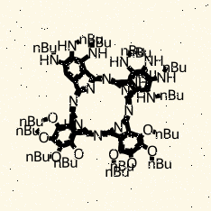 CCCCNc1cc2c(c(NCCCC)c1NCCCC)-c1nc-2nc2[nH]c(nc3nc(nc4c5c(NCCCC)c(NCCCC)c(NCCCC)c(NCCCC)c5c(n1)n4NCCCC)-c1c(OCCCC)c(OCCCC)c(OCCCC)c(OCCCC)c1-3)c1c(OCCCC)c(OCCCC)c(OCCCC)c(OCCCC)c21